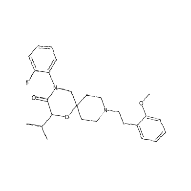 COc1ccccc1CCN1CCC2(CC1)CN(c1ccccc1F)C(=O)C(C(C)C)O2